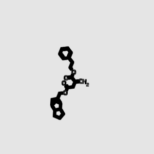 C=C(CC(=O)OCC1CC2CC1C1CCCC21)C(=O)OCCc1ccccc1